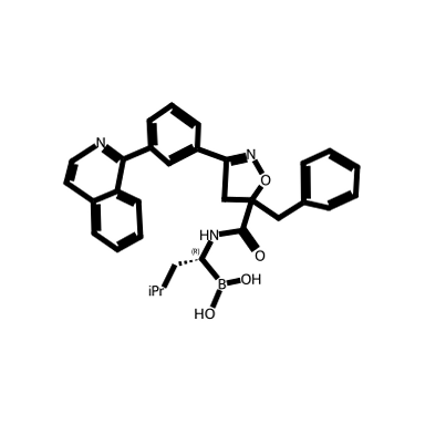 CC(C)C[C@H](NC(=O)C1(Cc2ccccc2)CC(c2cccc(-c3nccc4ccccc34)c2)=NO1)B(O)O